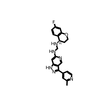 Cc1cc(-c2n[nH]c3cc(NCN[C@@H]4CCOc5cc(F)ccc54)ncc23)ccn1